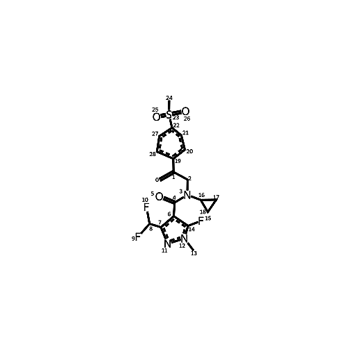 C=C(CN(C(=O)c1c(C(F)F)nn(C)c1F)C1CC1)c1ccc(S(C)(=O)=O)cc1